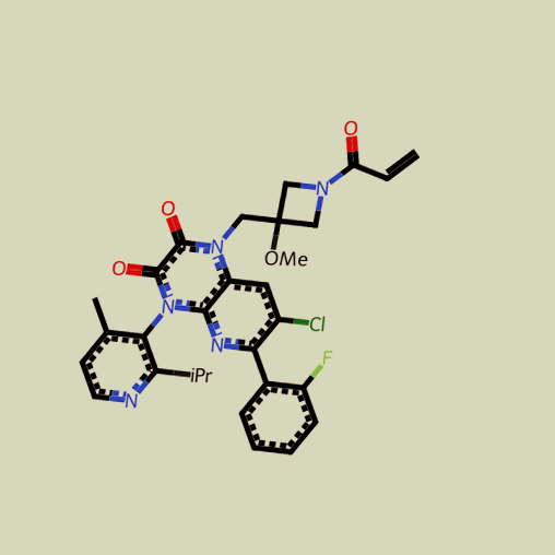 C=CC(=O)N1CC(Cn2c(=O)c(=O)n(-c3c(C)ccnc3C(C)C)c3nc(-c4ccccc4F)c(Cl)cc32)(OC)C1